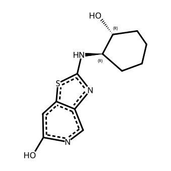 Oc1cc2sc(N[C@@H]3CCCC[C@H]3O)nc2cn1